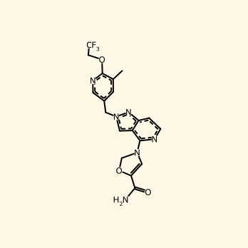 Cc1cc(Cn2cc3c(N4C=C(C(N)=O)OC4)nccc3n2)cnc1OCC(F)(F)F